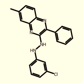 Cc1ccc2nc(-c3ccccc3)c(NNc3cccc(Cl)c3)nc2c1